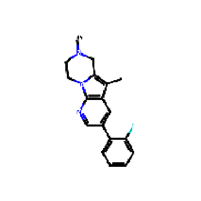 Cc1c2n(c3ncc(-c4ccccc4F)cc13)CCN(C(C)C)C2